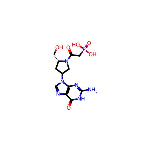 Nc1nc2c(ncn2C2C[C@H](CO)N(C(=O)CP(=O)(O)O)C2)c(=O)[nH]1